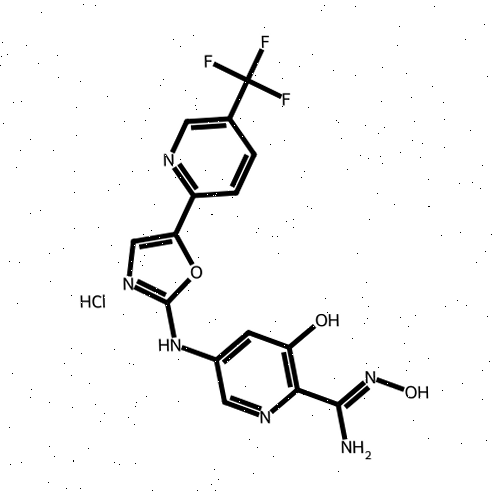 Cl.NC(=NO)c1ncc(Nc2ncc(-c3ccc(C(F)(F)F)cn3)o2)cc1O